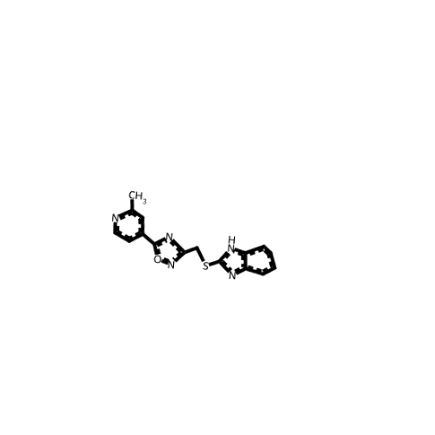 Cc1cc(-c2nc(CSc3nc4ccccc4[nH]3)no2)ccn1